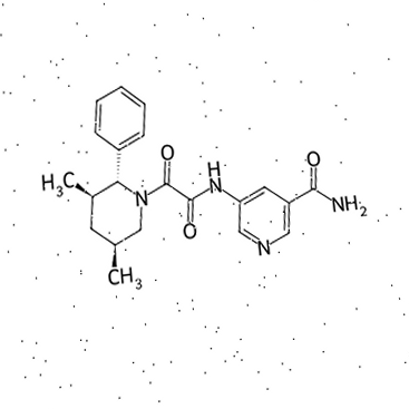 C[C@H]1C[C@@H](C)[C@H](c2ccccc2)N(C(=O)C(=O)Nc2cncc(C(N)=O)c2)C1